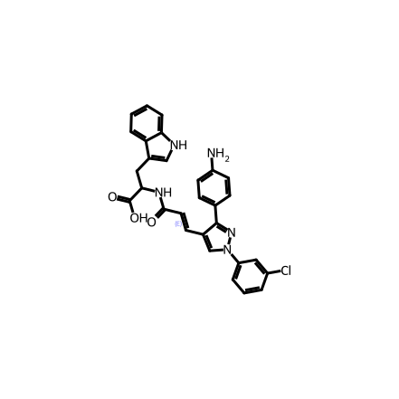 Nc1ccc(-c2nn(-c3cccc(Cl)c3)cc2/C=C/C(=O)NC(Cc2c[nH]c3ccccc23)C(=O)O)cc1